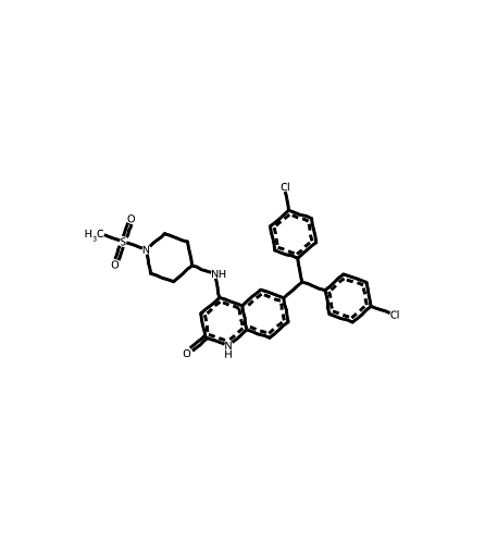 CS(=O)(=O)N1CCC(Nc2cc(=O)[nH]c3ccc(C(c4ccc(Cl)cc4)c4ccc(Cl)cc4)cc23)CC1